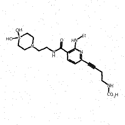 CCNc1nc(C#CCCNC(=O)O)ccc1C(=O)NCCN1CCS(O)(O)CC1